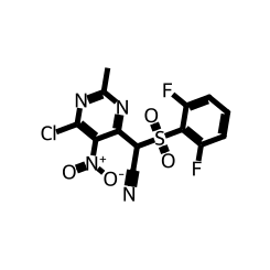 Cc1nc(Cl)c([N+](=O)[O-])c(C(C#N)S(=O)(=O)c2c(F)cccc2F)n1